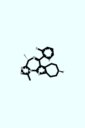 Cc1nnc2n1-c1sc3c(c1C(c1c(F)cccc1F)=N[C@H]2C)CC[C@@H](F)CC3